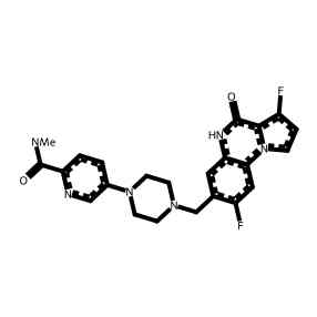 CNC(=O)c1ccc(N2CCN(Cc3cc4[nH]c(=O)c5c(F)ccn5c4cc3F)CC2)cn1